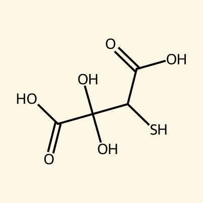 O=C(O)C(S)C(O)(O)C(=O)O